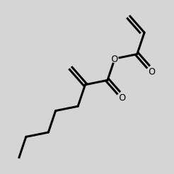 C=CC(=O)OC(=O)C(=C)CCCCC